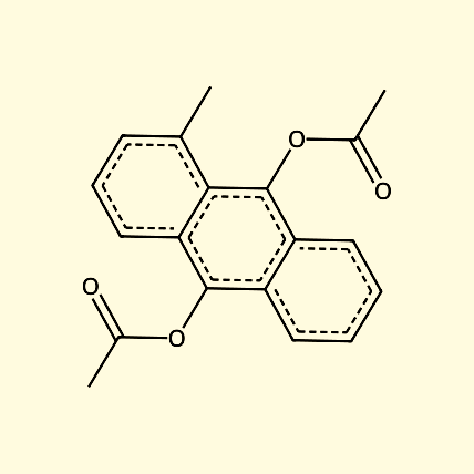 CC(=O)Oc1c2ccccc2c(OC(C)=O)c2c(C)cccc12